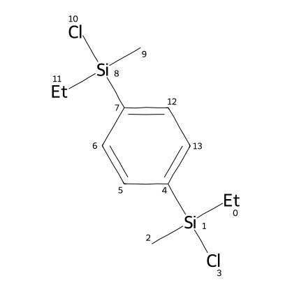 CC[Si](C)(Cl)c1ccc([Si](C)(Cl)CC)cc1